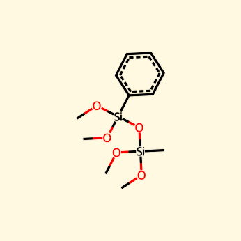 CO[Si](C)(OC)O[Si](OC)(OC)c1ccccc1